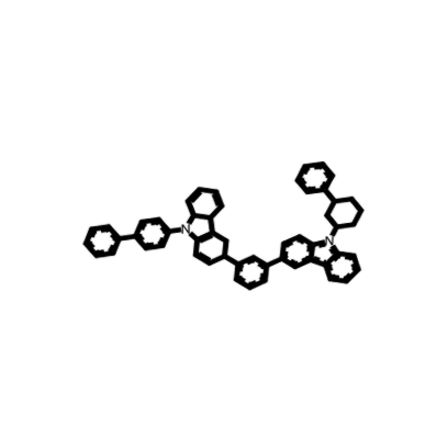 C1=CC2C3=C(C=CC(c4cccc(-c5ccc6c(c5)c5ccccc5n6C5CCCC(c6ccccc6)C5)c4)C3)N(c3ccc(-c4ccccc4)cc3)C2C=C1